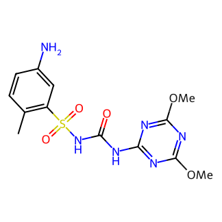 COc1nc(NC(=O)NS(=O)(=O)c2cc(N)ccc2C)nc(OC)n1